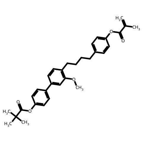 C=C(C)C(=O)Oc1ccc(CCCCc2ccc(-c3ccc(OC(=O)C(C)(C)C)cc3)cc2OC)cc1